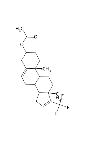 CC(=O)OC1CC[C@@]2(C)C(=CCC3C2CC[C@]2(C)C(C(F)(F)F)=CCC32)C1